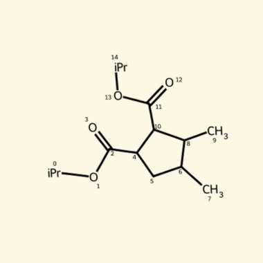 CC(C)OC(=O)C1CC(C)C(C)C1C(=O)OC(C)C